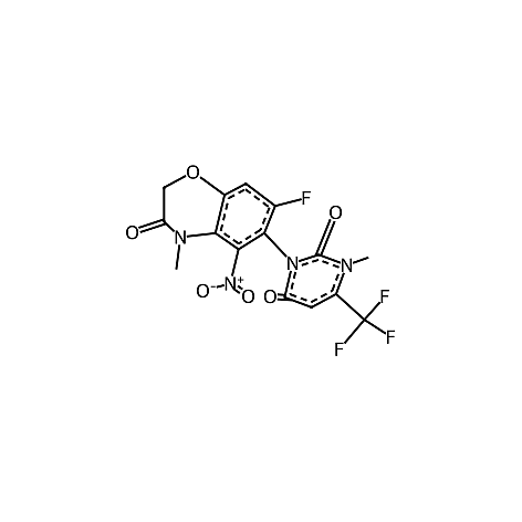 CN1C(=O)COc2cc(F)c(-n3c(=O)cc(C(F)(F)F)n(C)c3=O)c([N+](=O)[O-])c21